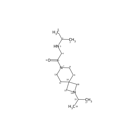 CC(C)NCC(=O)N1CCC2(CC1)CN(C(C)C)C2